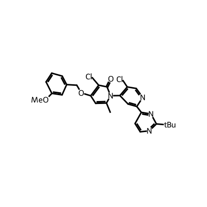 COc1cccc(COc2cc(C)n(-c3cc(-c4ccnc(C(C)(C)C)n4)ncc3Cl)c(=O)c2Cl)c1